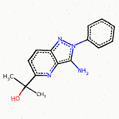 CC(C)(O)c1ccc2nn(-c3ccccc3)c(N)c2n1